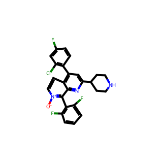 [O-][n+]1ccc2c(-c3ccc(F)cc3Cl)cc(C3CCNCC3)nc2c1-c1c(F)cccc1F